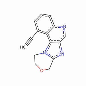 C#Cc1cccc2ncc3nc4n(c3c12)CCOC4